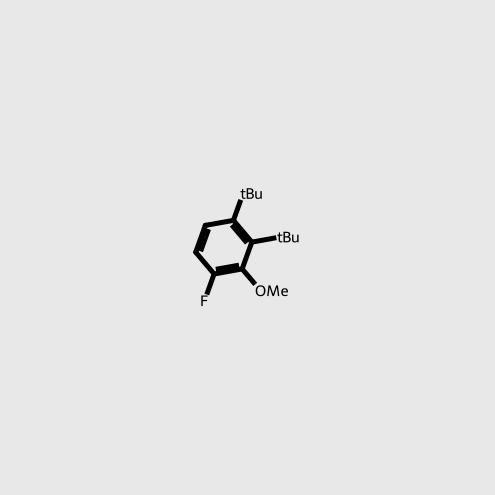 COc1c(F)ccc(C(C)(C)C)c1C(C)(C)C